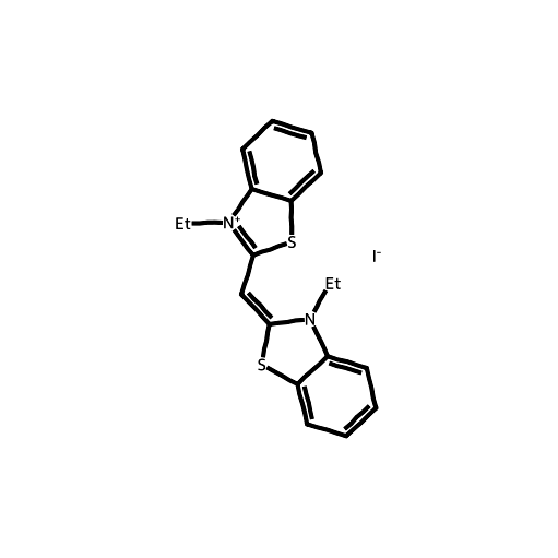 CCN1C(=Cc2sc3ccccc3[n+]2CC)Sc2ccccc21.[I-]